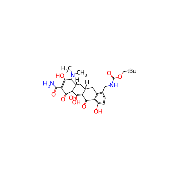 CN(C)[C@H]1C(O)=C(C(N)=O)C(=O)[C@]2(O)C(O)=C3C(=O)c4c(O)ccc(CNC(=O)OCC(C)(C)C)c4C[C@H]3C[C@@H]12